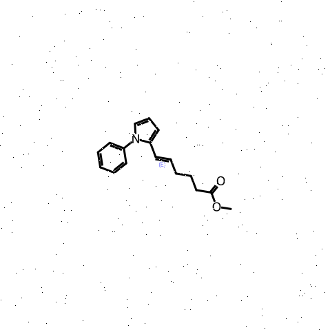 COC(=O)CCC/C=C/c1cccn1-c1ccccc1